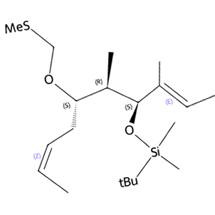 C/C=C\C[C@H](OCSC)[C@@H](C)[C@H](O[Si](C)(C)C(C)(C)C)/C(C)=C/C